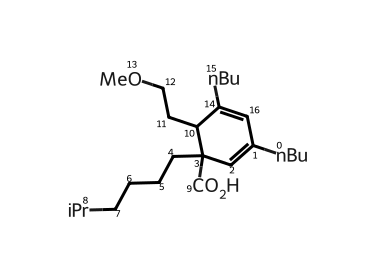 CCCCC1=CC(CCCCC(C)C)(C(=O)O)C(CCOC)C(CCCC)=C1